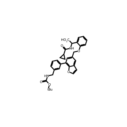 CC(C)(C)OC(=O)NCc1cccc(-c2cc(COc3ccccc3C(NC(=O)C3CC3)C(=O)O)cc3ccoc23)c1